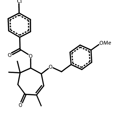 COc1ccc(COC2C=C(C)C(=O)CC(C)(C)C2OC(=O)c2ccc(Cl)cc2)cc1